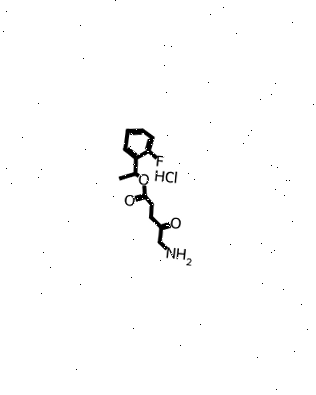 CC(OC(=O)CCC(=O)CN)c1ccccc1F.Cl